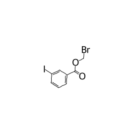 O=C(OCBr)c1cccc(I)c1